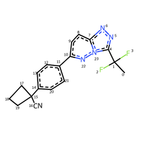 CC(F)(F)c1nnc2ccc(-c3ccc(C4(C#N)CCC4)cc3)nn12